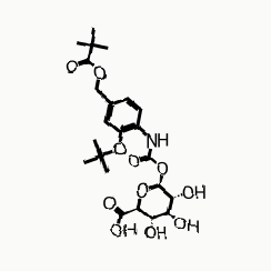 CC(C)(C)Oc1cc(COC(=O)C(C)(C)C)ccc1NC(=O)O[C@@H]1O[C@H](C(=O)O)[C@@H](O)[C@H](O)[C@H]1O